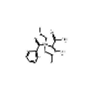 CCC[N+](CCC)(C(=O)c1ccccc1)C(CO)C(=O)O